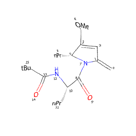 C=C1C=C(OC)[C@@H](CCC)N1C(=O)[C@H](CCC)NC(=O)C(C)(C)C